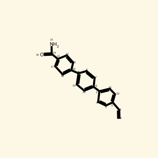 C=Cc1ccc(-c2ccc(-c3ccc(C(N)=O)cc3)cc2)cc1